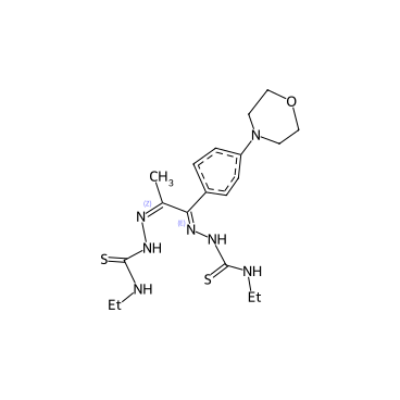 CCNC(=S)N/N=C(C)\C(=N\NC(=S)NCC)c1ccc(N2CCOCC2)cc1